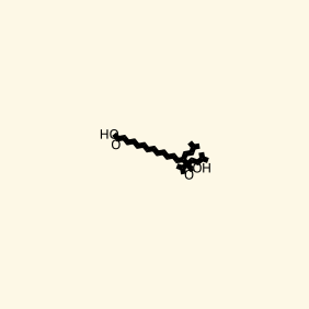 CC(C)CCC(CCCCCCCCCCCCC(=O)O)C(CCC(C)C)(C(=O)O)C(C)C